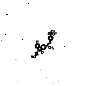 C[C@H](COc1ccc(S(C)(=O)=O)cc1)N1CCC2(CC1)C(=O)N([C@H]1C[C@@H](O)C1)c1ccc(Cl)cc12